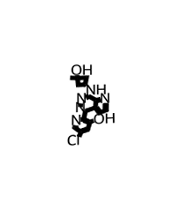 CC1(O)CC(Nc2nnc(-c3ncc(Cl)cc3O)c3cccnc23)C1